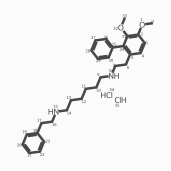 COc1ccc(CCNCCCCCCNCCc2ccccc2)c(-c2ccccc2)c1OC.Cl.Cl